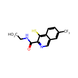 O=C(O)CNC(=O)c1ncc2cc(C(F)(F)F)ccc2c1S